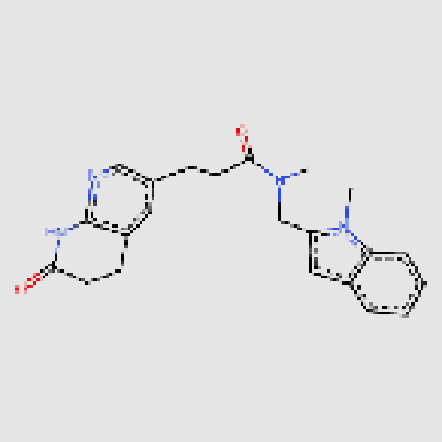 CN(Cc1cc2ccccc2n1C)C(=O)CCc1cnc2c(c1)CCC(=O)N2